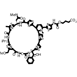 CNC(=O)C[C@@H]1NC(=O)c2csc(n2)C2=CC=C(c3nc(NC(=O)OCCCC(=O)O)cs3)N(C)C2c2csc(n2)-c2csc(n2)[C@H]([C@@H](O)c2ccccc2)NC(=O)CNC(=O)c2nc(sc2COC)[C@H](C(C)C)NC(=O)c2nc1sc2C